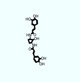 O=C(C=Cc1ccc(O)c(O)c1)N[C@@H]1CC[C@@H](NC(=O)C=Cc2ccc(O)c(O)c2)C1O